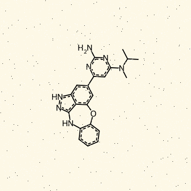 CC(C)N(C)c1cc(-c2cc3c4c(n[nH]c4c2)Nc2ccccc2O3)nc(N)n1